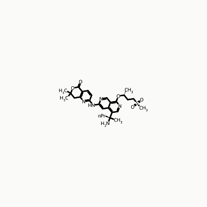 CCC[C@@](C)(N)c1cnc(O[C@H](C)CCS(C)(=O)=O)c2cnc(Nc3ccc4c(n3)CC(C)(C)OC4=O)cc12